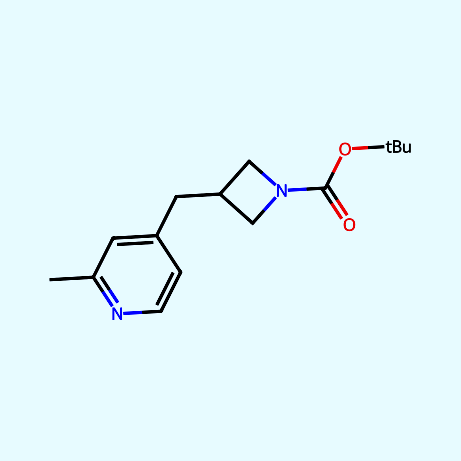 Cc1cc(CC2CN(C(=O)OC(C)(C)C)C2)ccn1